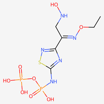 CCO/N=C(\CNO)c1nsc(NP(=O)(O)OP(=O)(O)O)n1